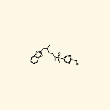 CC(CCNS(=O)(=O)c1ccc(CBr)cc1)Cc1nc2ccccc2s1